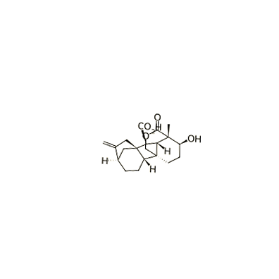 C=C1C[C@]23C[C@H]1CC[C@H]2[C@@]12CC[C@H](O)[C@@](C)(C(=O)OC1)[C@H]2[C@@H]3C(=O)O